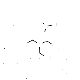 CN(C)C.C[CH2][Al]([CH2]C)[CH2]C